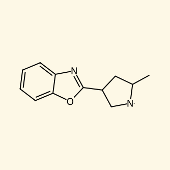 CC1CC(c2nc3ccccc3o2)C[N]1